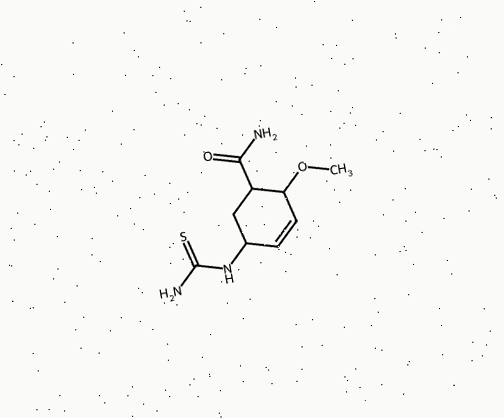 COC1C=CC(NC(N)=S)CC1C(N)=O